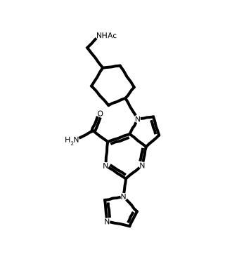 CC(=O)NCC1CCC(n2ccc3nc(-n4ccnc4)nc(C(N)=O)c32)CC1